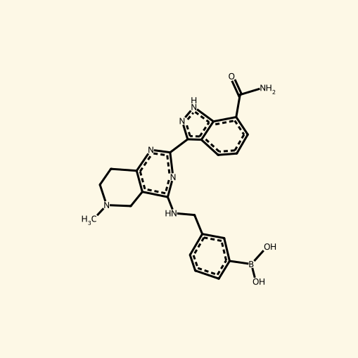 CN1CCc2nc(-c3n[nH]c4c(C(N)=O)cccc34)nc(NCc3cccc(B(O)O)c3)c2C1